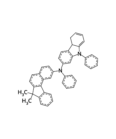 CC1(C)c2ccccc2-c2c1ccc1ccc(N(c3ccccc3)c3ccc4c(c3)N(c3ccccc3)C3=CC=CCC34)cc21